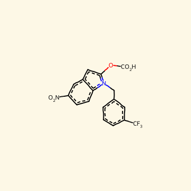 O=C(O)Oc1cc2cc([N+](=O)[O-])ccc2n1Cc1cccc(C(F)(F)F)c1